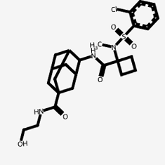 CN(C1(C(=O)NC2C3CC4CC2CC(C(=O)NCCO)(C4)C3)CCC1)S(=O)(=O)c1ccccc1Cl